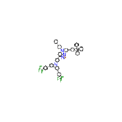 FC(F)(F)c1ccc(-c2ccc3c(c2)c2cc(-c4ccc(C(F)(F)F)cc4)ccc2n3-c2ccc(-c3ccc(N(c4ccc(-c5ccccc5)cc4)c4ccc(-c5ccc([Si](c6ccccc6)(c6ccccc6)c6ccccc6)cc5)cc4)c4nsnc34)cc2)cc1